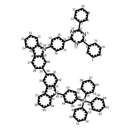 c1ccc(-c2nc(-c3ccccc3)nc(-c3ccc(-n4c5ccccc5c5ccc(-c6ccc7c(c6)c6ccccc6n7-c6ccc([Si](c7ccccc7)(c7ccccc7)c7ccccc7)cc6)cc54)cc3)n2)cc1